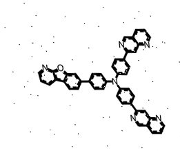 c1cnc2cc(-c3ccc(N(c4ccc(-c5ccc6c(c5)oc5ncccc56)cc4)c4ccc(-c5cc6ncccc6cn5)cc4)cc3)ncc2c1